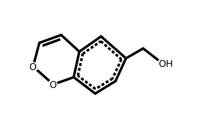 OCc1ccc2c(c1)C=COO2